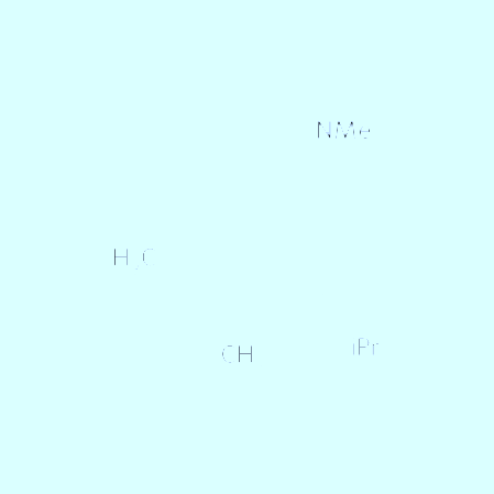 CNCC[C@@H](C)C(C)CC(C)C